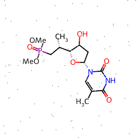 COP(=O)(C[C@H](C)[C@H]1O[C@@H](n2cc(C)c(=O)[nH]c2=O)CC1O)OC